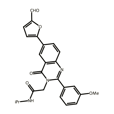 COc1cccc(-c2nc3ccc(-c4ccc(C=O)o4)cc3c(=O)n2CC(=O)NC(C)C)c1